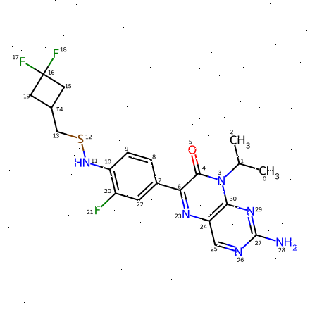 CC(C)n1c(=O)c(-c2ccc(NSCC3CC(F)(F)C3)c(F)c2)nc2cnc(N)nc21